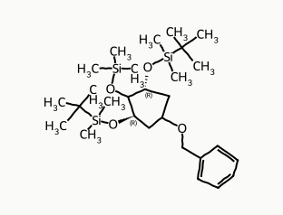 CC(C)(C)[Si](C)(C)O[C@@H]1CC(OCc2ccccc2)C[C@@H](O[Si](C)(C)C(C)(C)C)C1O[Si](C)(C)C